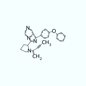 C=C(C#CC)N1CCCC1c1nc(-c2ccc(Oc3ccccc3)cc2)c2cnccn12